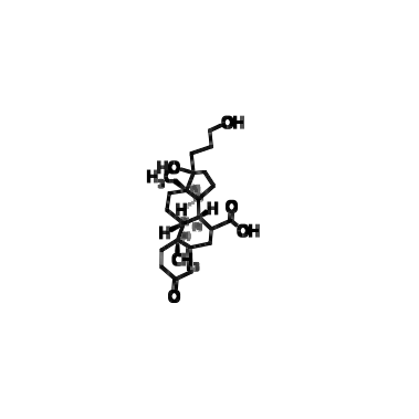 C[C@]12CCC(=O)C=C1CC(C(=O)O)[C@@H]1[C@H]2CC[C@@]2(C)[C@H]1CCC2(O)CCCO